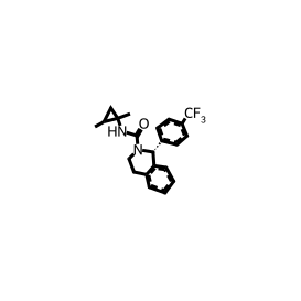 CC1CC1(C)NC(=O)N1CCc2ccccc2[C@H]1c1ccc(C(F)(F)F)cc1